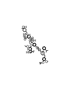 CCOc1nc2[nH]cc(F)c2cc1Oc1cc(N2CC3(CC(N4CCN(Cc5ccc(OC6CC6)c(OC)c5)C[C@H]4c4ccccc4C(C)C)C3)C2)ccc1C(=O)NS(=O)(=O)c1cnc(NCC2CCC(C)(O)CC2)c([N+](=O)[O-])c1